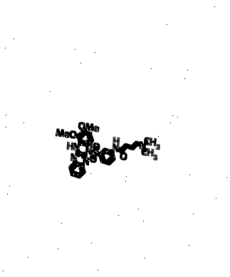 COc1cccc(Nc2nc3ccccc3nc2NS(=O)(=O)c2cccc(NC(=O)CCCN(C)C)c2)c1OC